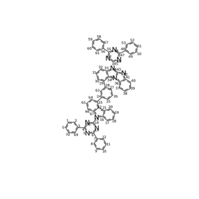 c1ccc(-c2nc(-c3ccccc3)nc(-n3c4ccccc4c4c(-c5cccc(-c6cccc7c6n6c8ccccc8nc6n7-c6nc(-c7ccccc7)nc(-c7ccccc7)n6)c5)cccc43)n2)cc1